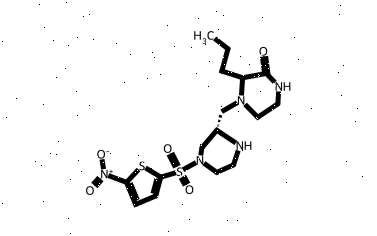 CCCC1C(=O)NCCN1C[C@H]1CN(S(=O)(=O)c2ccc([N+](=O)[O-])s2)CCN1